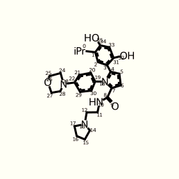 CC(C)c1cc(-c2ccc(C(=O)NCCN3CCCC3)n2-c2ccc(N3CCOCC3)cc2)c(O)cc1O